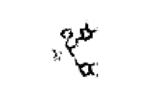 Clc1ccc(COCC(Cn2ccnc2)SCc2ccc(Cl)c(Cl)c2)cc1Cl.O=[N+]([O-])O